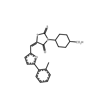 Cc1ccccc1-c1ccc(C=C2SC(=S)N(C3CCC(C(=O)O)CC3)C2=O)o1